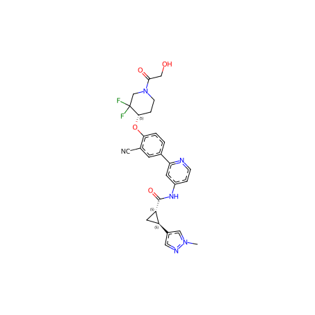 Cn1cc([C@H]2C[C@@H]2C(=O)Nc2ccnc(-c3ccc(O[C@H]4CCN(C(=O)CO)CC4(F)F)c(C#N)c3)c2)cn1